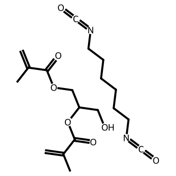 C=C(C)C(=O)OCC(CO)OC(=O)C(=C)C.O=C=NCCCCCCN=C=O